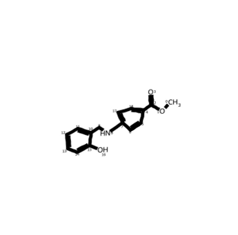 COC(=O)c1ccc(NCc2ccccc2O)cc1